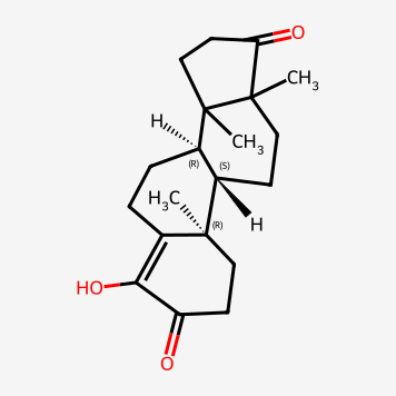 CC12CC[C@H]3[C@@H](CCC4=C(O)C(=O)CC[C@@]43C)C1(C)CCC2=O